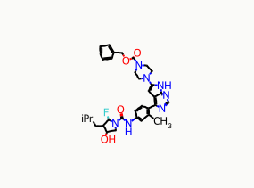 Cc1cc(NC(=O)N2CC(O)C(CC(C)C)C2F)ccc1-c1ncnc2[nH]c(N3CCN(C(=O)OCc4ccccc4)CC3)cc12